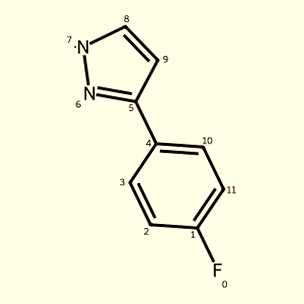 Fc1ccc(C2=N[N]C=C2)cc1